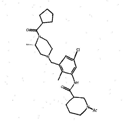 CC(=O)N1CCCC(C(=O)Nc2cc(Cl)cc(CN3CCN(C(=O)C4CCCC4)[C@@H](C)C3)c2C)C1